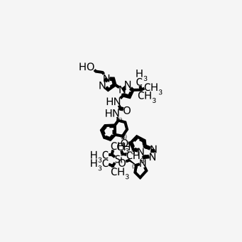 CC(C)[Si](OC[C@@H]1CCCN1c1nnc2ccc(O[C@@H]3CC[C@H](NC(=O)Nc4cc(C(C)(C)C)nn4-c4cnn(CCO)c4)c4ccccc43)cn12)(C(C)C)C(C)C